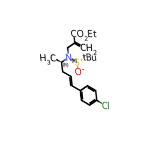 C=C(CN([C@H](C)CC=Cc1ccc(Cl)cc1)[S@@+]([O-])C(C)(C)C)C(=O)OCC